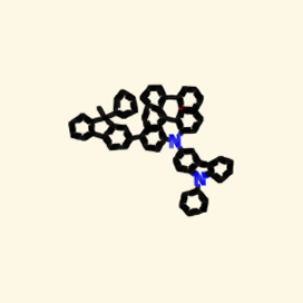 CC1(c2ccccc2)c2ccccc2-c2ccc(-c3ccc(N(c4ccc5c(c4)c4ccccc4n5-c4ccccc4)c4ccccc4-c4cccc5cccc(-c6ccccc6)c45)cc3)cc21